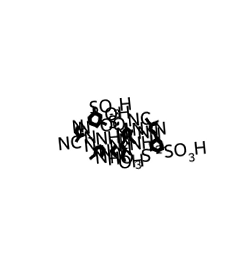 Cc1nn(-c2nc(O)nc(-n3nc(C)c(N=Nc4c(C#N)cnn4-c4cc(S(=O)(=O)O)cc(S(=O)(=O)O)c4)c3N)n2)c(N)c1N=Nc1c(C#N)cnn1-c1cc(OS(=O)O)cc(S(=O)(=O)O)c1